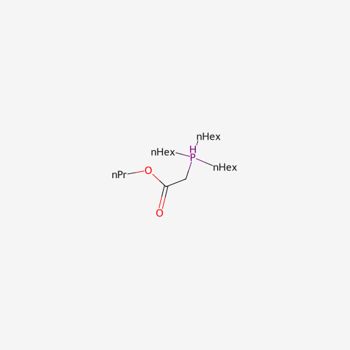 CCCCCC[PH](CCCCCC)(CCCCCC)CC(=O)OCCC